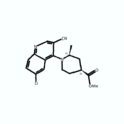 COC(=O)[C@H]1CCN(c2c(C#N)cnc3ccc(Cl)cc23)[C@@H](C)C1